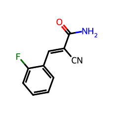 N#C/C(=C\c1ccccc1F)C(N)=O